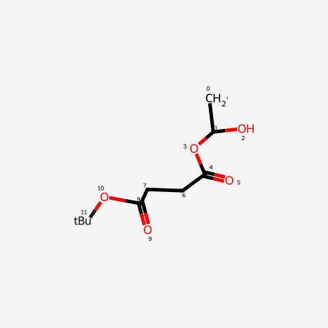 [CH2]C(O)OC(=O)CCC(=O)OC(C)(C)C